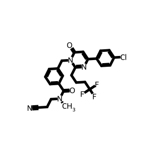 CN(CCC#N)C(=O)c1cccc(Cn2c(CCCC(F)(F)F)nc(-c3ccc(Cl)cc3)cc2=O)c1